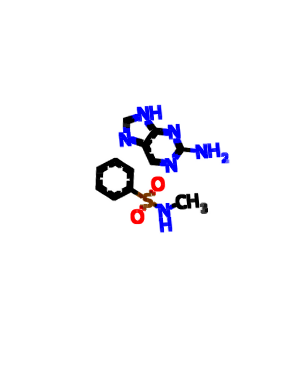 CNS(=O)(=O)c1ccccc1.Nc1ncc2nc[nH]c2n1